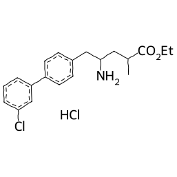 CCOC(=O)C(C)CC(N)Cc1ccc(-c2cccc(Cl)c2)cc1.Cl